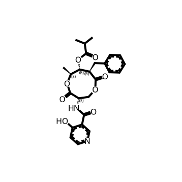 CC(C)C(=O)O[C@H]1[C@H](C)OC(=O)[C@@H](NC(=O)c2cnccc2O)COC(=O)[C@@H]1Cc1ccccc1